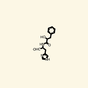 O=[C]C(Cc1c[nH]cn1)NC(=O)C(O)Cc1ccccc1